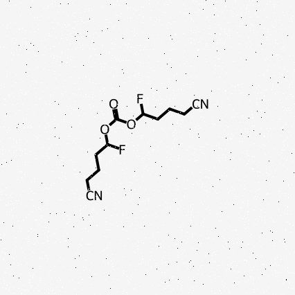 N#CCCCC(F)OC(=O)OC(F)CCCC#N